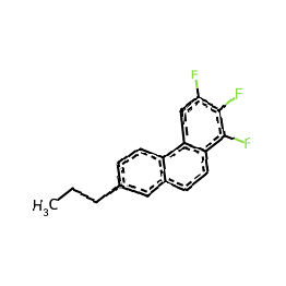 CCCc1ccc2c(ccc3c(F)c(F)c(F)cc32)c1